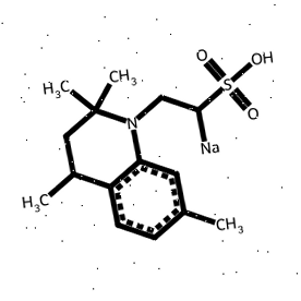 Cc1ccc2c(c1)N(C[CH]([Na])S(=O)(=O)O)C(C)(C)CC2C